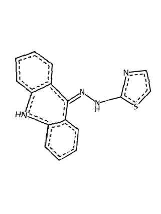 c1ccc2c(=NNc3nccs3)c3ccccc3[nH]c2c1